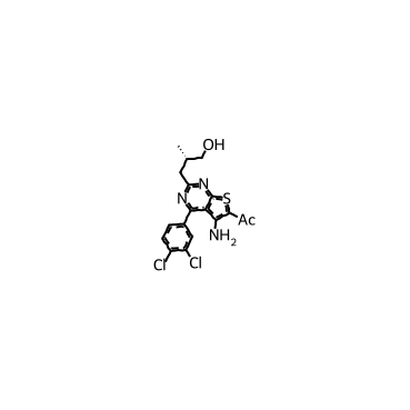 CC(=O)c1sc2nc(C[C@H](C)CO)nc(-c3ccc(Cl)c(Cl)c3)c2c1N